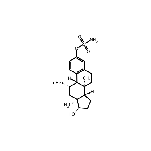 CCCCCC[C@H]1C[C@@]2(C)[C@@H](CC[C@@H]2O)[C@]2(C)CCc3cc(OS(N)(=O)=O)ccc3[C@@H]12